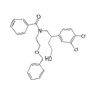 O=C(c1ccccc1)N(CCOCc1ccccc1)CC(CCO)c1ccc(Cl)c(Cl)c1